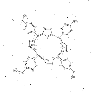 Nc1ccc(-c2c3nc(c(-c4ccc(CO)cc4)c4ccc([nH]4)c(-c4ccc(CO)cc4)c4nc(c(-c5ccc(CO)cc5)c5ccc2[nH]5)C=C4)C=C3)cc1